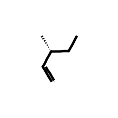 [CH]=C[C@H](C)CC